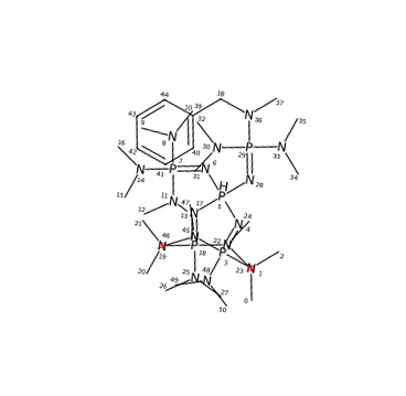 CN(C)P(=N[PH](N=P(N(C)C)(N(C)C)N(C)C)(N=P(N(C)C)(N(C)C)N(C)C)N=P(N(C)C)(N(C)C)N(C)Cc1ccccc1)(N(C)C)N(C)C